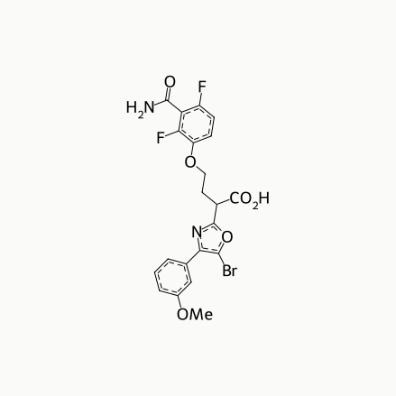 COc1cccc(-c2nc(C(CCOc3ccc(F)c(C(N)=O)c3F)C(=O)O)oc2Br)c1